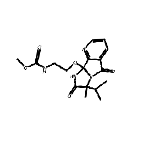 COC(=O)NCCOC12NC(=O)C(C)(C(C)C)N1C(=O)c1cccnc12